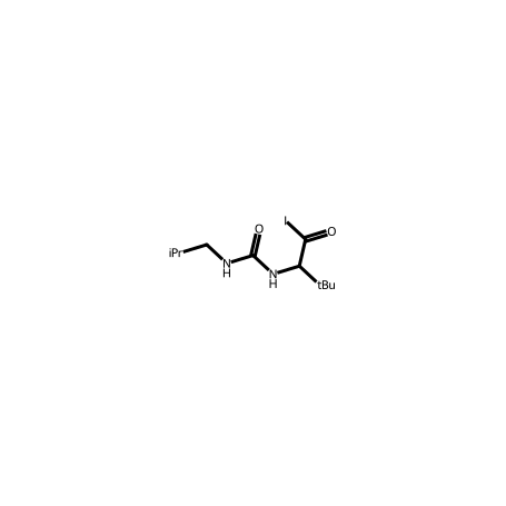 CC(C)CNC(=O)NC(C(=O)I)C(C)(C)C